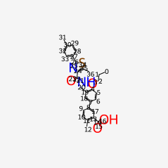 CCCOc1ccc(-c2ccc(C)c(C(=O)O)c2)cc1CNC(=O)c1nc(-c2ccc(C)cc2)sc1C